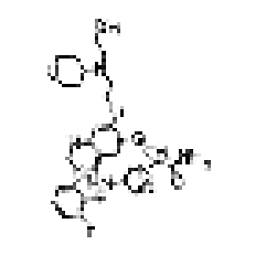 COc1cc2c(cc1OCCN(CCO)C1CCOCC1)=NCN(c1cccc(F)c1F)C=2Nc1cnn(CC(N)=O)c1